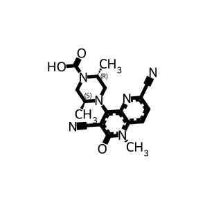 C[C@@H]1CN(c2c(C#N)c(=O)n(C)c3ccc(C#N)nc23)[C@@H](C)CN1C(=O)O